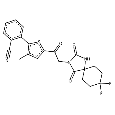 Cc1cc(C(=O)CN2C(=O)NC3(CCC(F)(F)CC3)C2=O)sc1-c1ccccc1C#N